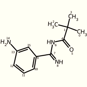 CC(C)(C)C(=O)NC(=N)c1cccc(N)c1